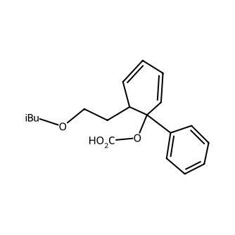 CCC(C)OCCC1C=CC=CC1(OC(=O)O)c1ccccc1